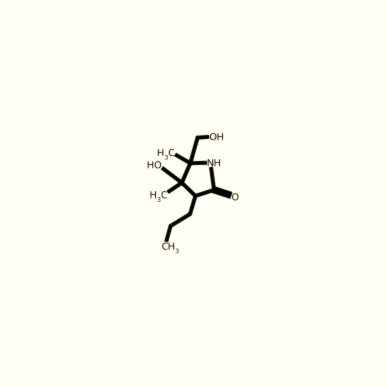 CCCC1C(=O)NC(C)(CO)C1(C)O